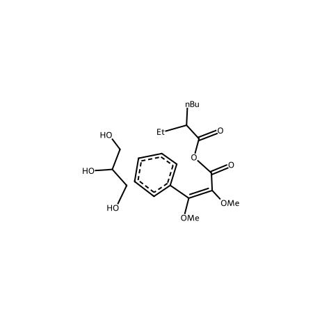 CCCCC(CC)C(=O)OC(=O)C(OC)=C(OC)c1ccccc1.OCC(O)CO